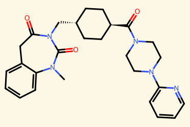 CN1C(=O)N(C[C@H]2CC[C@H](C(=O)N3CCN(c4ccccn4)CC3)CC2)C(=O)Cc2ccccc21